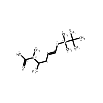 CC(CC=CO[Si](C)(C)C(C)(C)C)N(C)C(=O)O